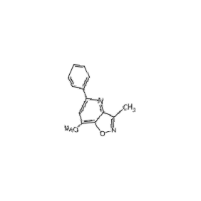 COc1cc(-c2ccccc2)nc2c(C)noc12